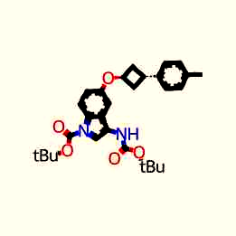 Cc1ccc([C@H]2C[C@H](Oc3ccc4c(c3)c(NC(=O)OC(C)(C)C)cn4C(=O)OC(C)(C)C)C2)cc1